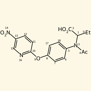 CCC(C(=O)O)N(C(C)=O)c1ccc(Oc2ccc([N+](=O)[O-])cn2)cc1